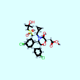 COC(=O)C[C@@H]1O[C@H](c2cccc(Cl)c2)[C@@H](c2ccc(Cl)cc2)N([C@H](CS(=O)(=O)CC(C)(C)O)C2CC2)C1=O